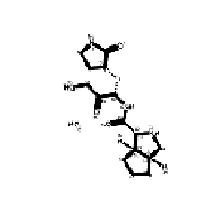 Cl.O=C1NCC[C@H]1C[C@H](NC(=O)[C@H]1NC[C@@H]2CCC[C@@H]21)C(=O)CO